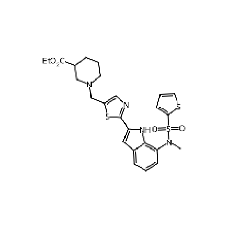 CCOC(=O)C1CCCN(Cc2cnc(-c3cc4cccc(N(C)S(=O)(=O)c5cccs5)c4[nH]3)s2)C1